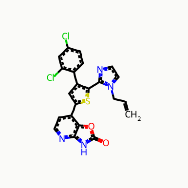 C=CCn1ccnc1-c1sc(-c2ccnc3[nH]c(=O)oc23)cc1-c1ccc(Cl)cc1Cl